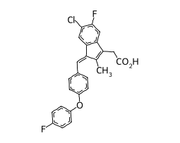 CC1=C(CC(=O)O)c2cc(F)c(Cl)cc2/C1=C/c1ccc(Oc2ccc(F)cc2)cc1